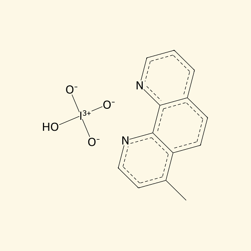 Cc1ccnc2c1ccc1cccnc12.[O-][I+3]([O-])([O-])O